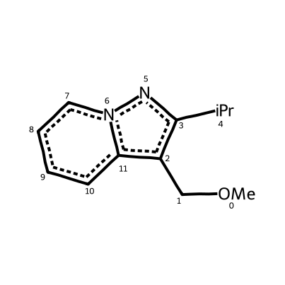 COCc1c(C(C)C)nn2ccccc12